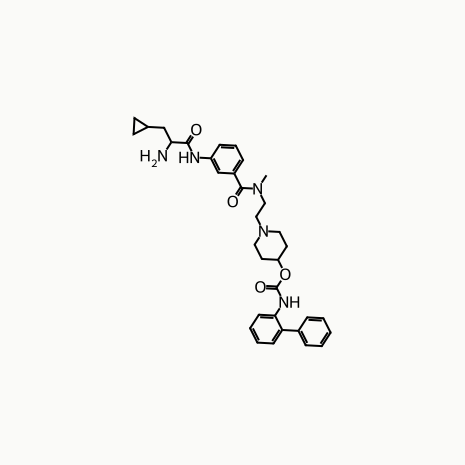 CN(CCN1CCC(OC(=O)Nc2ccccc2-c2ccccc2)CC1)C(=O)c1cccc(NC(=O)C(N)CC2CC2)c1